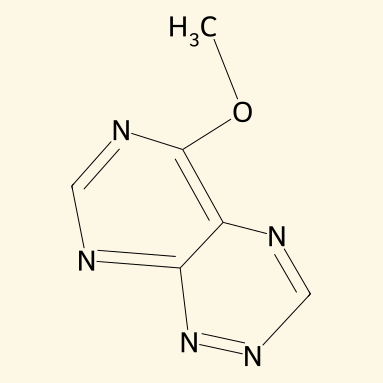 COc1ncnc2nncnc12